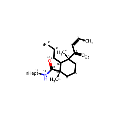 C=C(/C=C\C)[C@]1(C)CCC[C@](C)(C(=O)NCCCCCCC)C1CCC(C)C